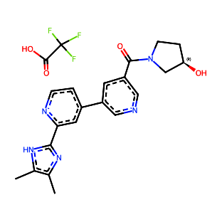 Cc1nc(-c2cc(-c3cncc(C(=O)N4CC[C@@H](O)C4)c3)ccn2)[nH]c1C.O=C(O)C(F)(F)F